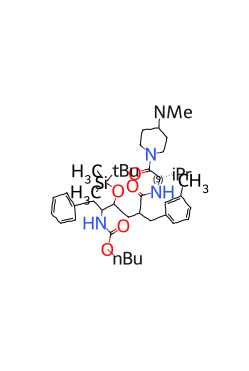 CCCCOC(=O)NC(Cc1ccccc1)C(CC(Cc1cccc(C)c1)C(=O)N[C@H](C(=O)N1CCC(NC)CC1)C(C)C)O[Si](C)(C)C(C)(C)C